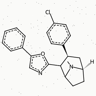 CN1C2CC[C@@H]1C[C@H](c1ccc(Cl)cc1)C2c1ncc(-c2ccccc2)o1